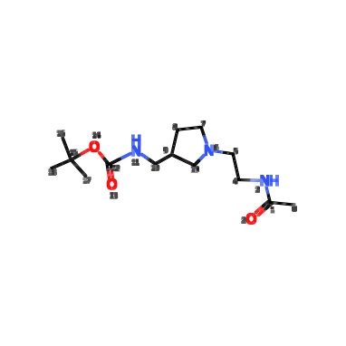 CC(=O)NCCN1CCC(CNC(=O)OC(C)(C)C)C1